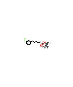 CCCO[SiH](CCCCCc1cccc(F)c1)OCCC